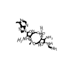 Cc1ncnc2c1ncn2[C@@H]1O[C@@H]2COP(=O)(S)OC3C(N)[C@H](NC=N)O[C@@H]3COP(C)O[C@@H]2[C@@H]1N